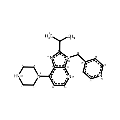 CC(C)c1nc2c(N3CCNCC3)ccnc2n1Cc1ccncc1